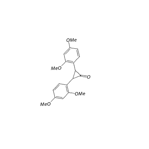 COc1ccc(C2C(=O)C2c2ccc(OC)cc2OC)c(OC)c1